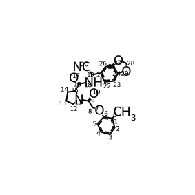 Cc1ccccc1OCC(=O)N1CCC[C@H]1C(=O)NC(C#N)c1ccc2c(c1)OCO2